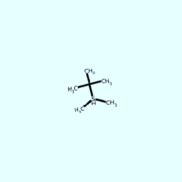 C[SH](C)C(C)(C)C